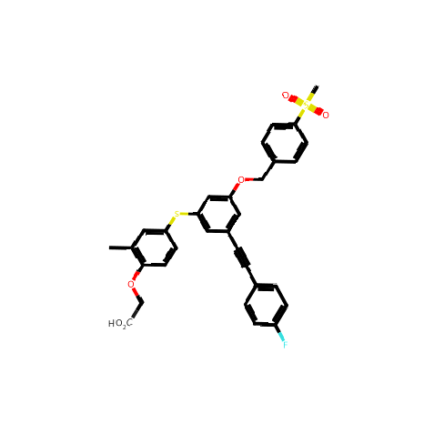 Cc1cc(Sc2cc(C#Cc3ccc(F)cc3)cc(OCc3ccc(S(C)(=O)=O)cc3)c2)ccc1OCC(=O)O